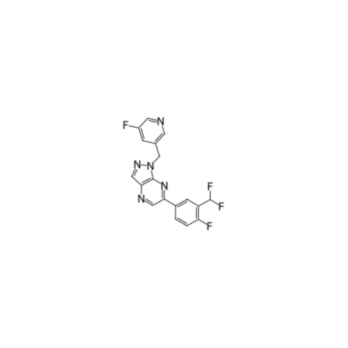 Fc1cncc(Cn2ncc3ncc(-c4ccc(F)c(C(F)F)c4)nc32)c1